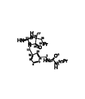 CCCNC(=O)NCc1cccc(CN2C(=N)NC(C)(CC(C)C)C2=O)c1